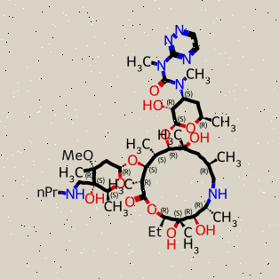 CCCNC[C@]1(O)[C@H](C)O[C@@H](O[C@H]2[C@H](C)[C@@H](O[C@@H]3O[C@H](C)C[C@H](N(C)C(=O)N(C)c4nccnn4)[C@H]3O)[C@](C)(O)C[C@@H](C)CN[C@H](C)[C@@H](O)[C@](C)(O)[C@@H](CC)OC(=O)[C@@H]2C)C[C@@]1(C)OC